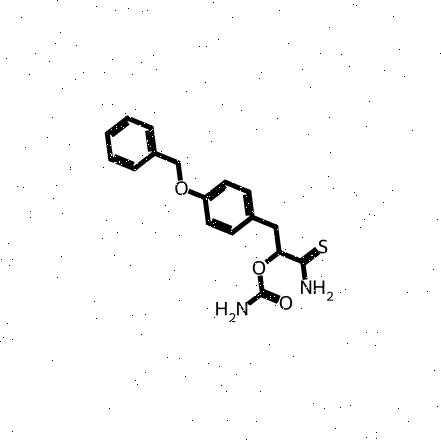 NC(=O)OC(Cc1ccc(OCc2ccccc2)cc1)C(N)=S